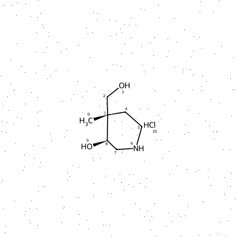 C[C@@]1(CO)CCNC[C@H]1O.Cl